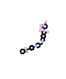 O=C1CCC(N2C(=O)c3cc4c(cc3C2=O)CN(CC2CCN(c3ccc(-c5nc6c(o5)CCCC6)cc3)CC2)C4)C(=O)N1